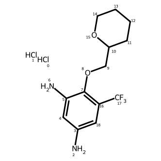 Cl.Cl.Nc1cc(N)c(OCC2CCCCO2)c(C(F)(F)F)c1